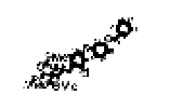 COC(=O)NC(CCCc1ccc(Sc2cccc(OCc3ccccc3)c2)cc1Cl)(CC(C)C)C(OC)OC